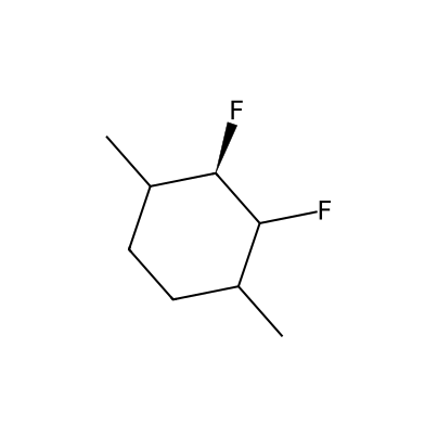 CC1CCC(C)[C@@H](F)C1F